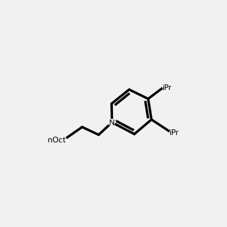 CCCCCCCCCC[n+]1ccc(C(C)C)c(C(C)C)c1